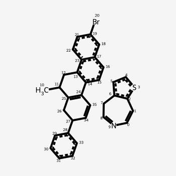 C1=Cc2sccc2CC=N1.CC1Cc2c(ccc3cc(Br)ccc23)C2=C1CC(c1ccccc1)C=C2